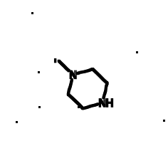 [CH]N1CCNCC1